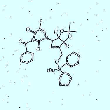 CC1(C)O[C@@H]2[C@H](O1)C(CO[Si](c1ccccc1)(c1ccccc1)C(C)(C)C)=C[C@H]2n1cc(F)c(=O)n(C(=O)c2ccccc2)c1=O